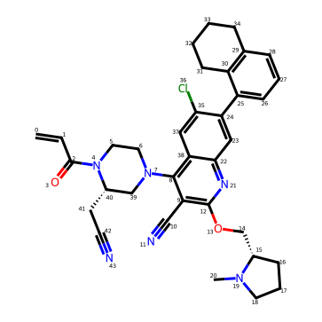 C=CC(=O)N1CCN(c2c(C#N)c(OC[C@@H]3CCCN3C)nc3cc(-c4cccc5c4CCCC5)c(Cl)cc23)C[C@@H]1CC#N